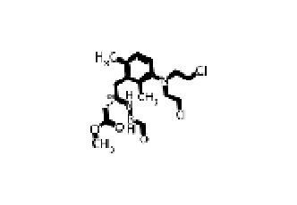 COC(=O)C[C@H](Cc1c(C)ccc(N(CCCl)CCCl)c1C)NBC=O